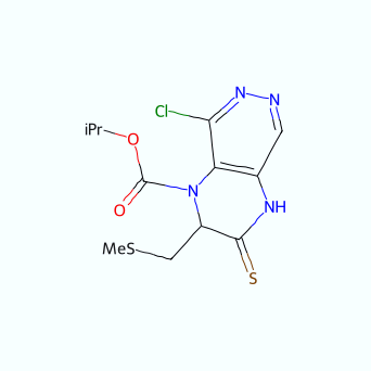 CSCC1C(=S)Nc2cnnc(Cl)c2N1C(=O)OC(C)C